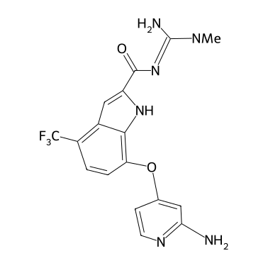 CNC(N)=NC(=O)c1cc2c(C(F)(F)F)ccc(Oc3ccnc(N)c3)c2[nH]1